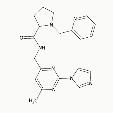 Cc1cc(CNC(=O)C2CCCN2Cc2ccccn2)nc(-n2ccnc2)n1